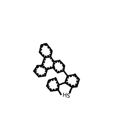 Cc1ccccc1-c1c(S)cccc1-c1ccc2c3ccccc3c3ccccc3c2c1